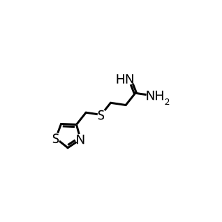 N=C(N)CCSCc1cscn1